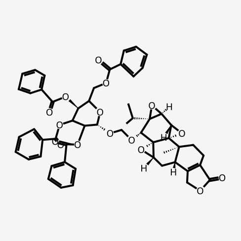 CC(C)[C@]12O[C@H]1[C@@H]1O[C@]13[C@]1(O[C@H]1C[C@H]1C4=C(CC[C@@]13C)C(=O)OC4)[C@@H]2OCO[C@H]1OC(COC(=O)c2ccccc2)[C@H](OC(=O)c2ccccc2)C(OC(=O)c2ccccc2)C1OC(=O)c1ccccc1